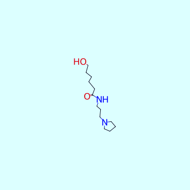 O=C(CCCCCO)NCCCN1CCCC1